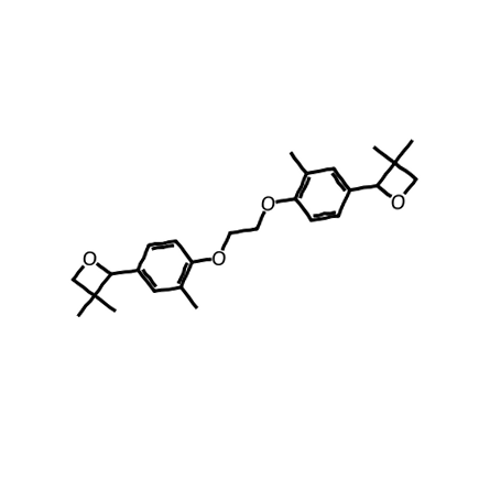 Cc1cc(C2OCC2(C)C)ccc1OCCOc1ccc(C2OCC2(C)C)cc1C